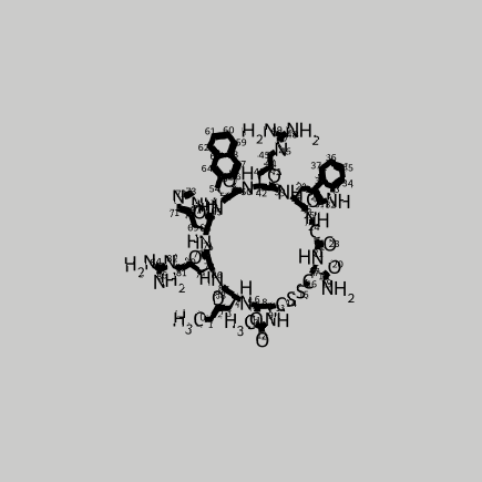 CCCC[C@@H]1NC(=O)[C@@H](NC(C)=O)CSSC[C@@H](C(N)=O)NC(=O)CNC(=O)[C@H](Cc2c[nH]c3ccccc23)NC(=O)[C@H](CCCN=C(N)N)NC(=O)[C@@H](Cc2ccc3ccccc3c2)NC(=O)[C@H](Cc2cnc[nH]2)NC(=O)[C@H](CCCN=C(N)N)NC1=O